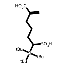 C=C(CCCC([Si](C(C)(C)C)(C(C)(C)C)C(C)(C)C)S(=O)(=O)O)C(=O)O